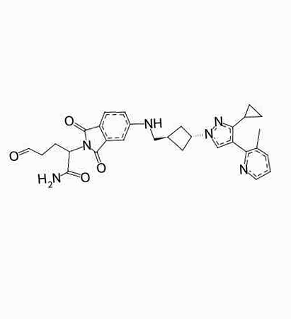 Cc1cccnc1-c1cn([C@H]2C[C@H](CNc3ccc4c(c3)C(=O)N(C(CCC=O)C(N)=O)C4=O)C2)nc1C1CC1